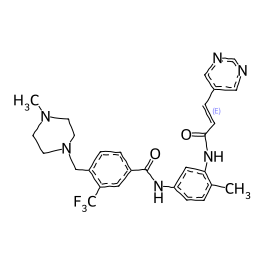 Cc1ccc(NC(=O)c2ccc(CN3CCN(C)CC3)c(C(F)(F)F)c2)cc1NC(=O)/C=C/c1cncnc1